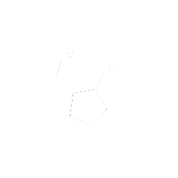 COC[C@H]1CCCC1C=O